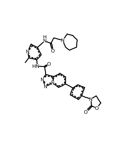 Cc1ncc(NC(=O)CN2CCCCCC2)cc1NC(=O)c1nnn2cc(-c3ccc(N4CCOC4=O)cc3)ccc12